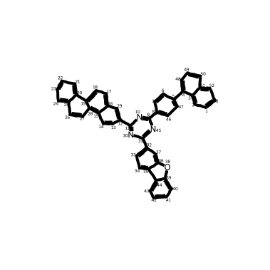 c1ccc2c(-c3ccc(-c4nc(-c5ccc6c(ccc7c8ccccc8ccc67)c5)nc(-c5ccc6c(c5)oc5ccccc56)n4)cc3)cccc2c1